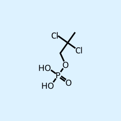 CC(Cl)(Cl)COP(=O)(O)O